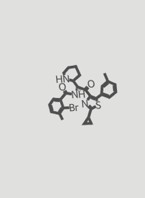 Cc1cccc(-c2sc(C3CC3)nc2C(=O)[C@@H](NC(=O)c2cccc(C)c2Br)C2CCCCN2)c1